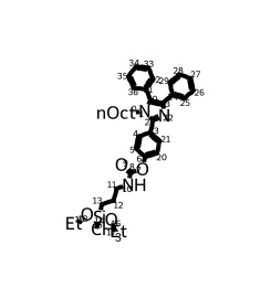 CCCCCCCCn1c(-c2ccc(OC(=O)NCCC[Si](C)(OCC)OCC)cc2)nc(-c2ccccc2)c1-c1ccccc1